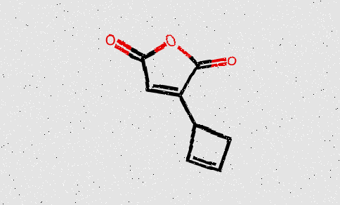 O=C1C=C(C2C=CC2)C(=O)O1